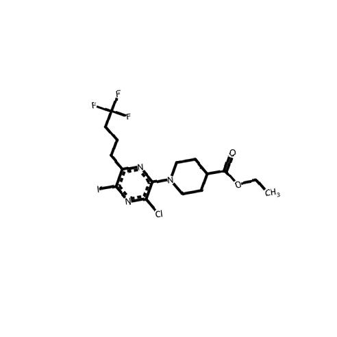 CCOC(=O)C1CCN(c2nc(CCCC(F)(F)F)c(I)nc2Cl)CC1